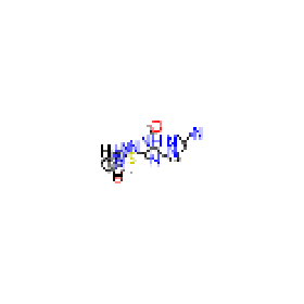 CC(=O)N[C@@H]1[C@@H]2CC[C@H]1CN(c1nnc(-c3cnc(-c4ccc5cc(C#N)cnn45)cc3NC3COC3)s1)C2